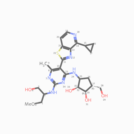 COCC(CO)Nc1nc(C)c(-c2nc3c(C4CC4)nccc3s2)c(NC2C[C@H](CO)[C@@H](O)[C@H]2O)n1